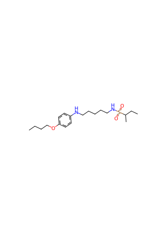 CCCCOc1ccc(NCCCCCNS(=O)(=O)C(C)CC)cc1